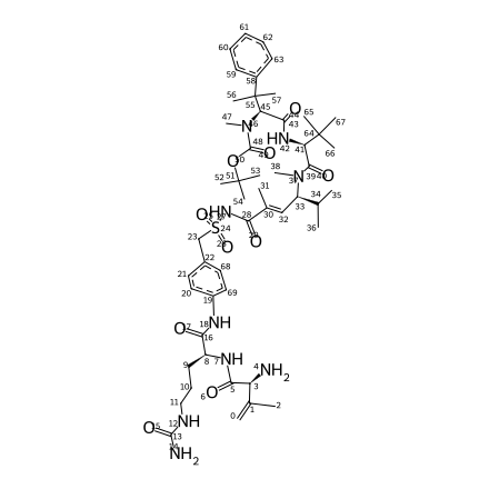 C=C(C)[C@H](N)C(=O)N[C@@H](CCCNC(N)=O)C(=O)Nc1ccc(CS(=O)(=O)NC(=O)/C(C)=C/[C@H](C(C)C)N(C)C(=O)[C@@H](NC(=O)[C@@H](N(C)C(=O)OC(C)(C)C)C(C)(C)c2ccccc2)C(C)(C)C)cc1